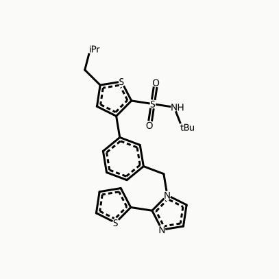 CC(C)Cc1cc(-c2cccc(Cn3ccnc3-c3cccs3)c2)c(S(=O)(=O)NC(C)(C)C)s1